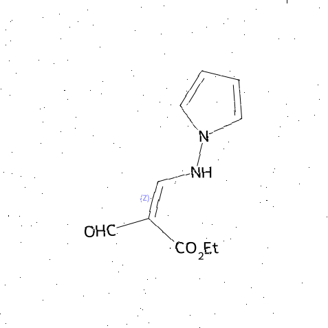 CCOC(=O)/C(C=O)=C\Nn1cccc1